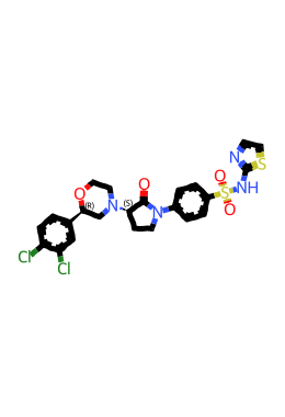 O=C1[C@@H](N2CCO[C@H](c3ccc(Cl)c(Cl)c3)C2)CCN1c1ccc(S(=O)(=O)Nc2nccs2)cc1